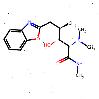 CNC(=O)[C@H]([C@H](O)[C@H](C)Cc1nc2ccccc2o1)N(C)C